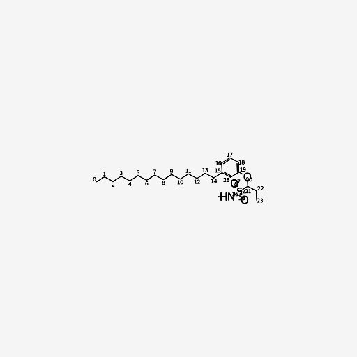 CCCCCCCCCCCCCCCc1cccc(OC(CC)S([NH])(=O)=O)c1